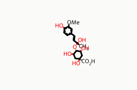 COc1cc(/C=C/C(C)(O)O[C@H]2C(O)C[C@](O)(C(=O)O)CC2O)ccc1O